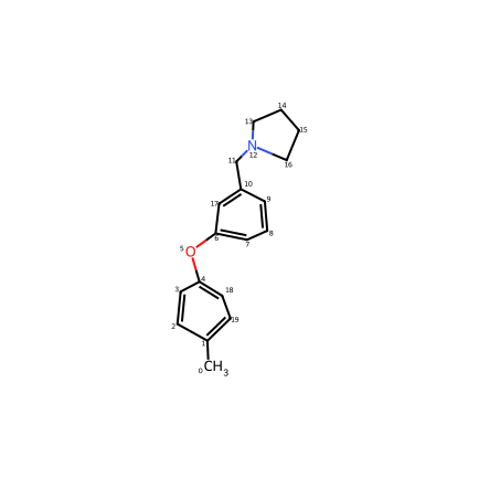 Cc1ccc(Oc2cccc(CN3CCCC3)c2)cc1